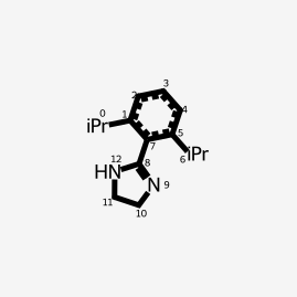 CC(C)c1cccc(C(C)C)c1C1=NCCN1